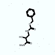 CNC(=O)C(O)CNC(=O)OCc1ccccc1